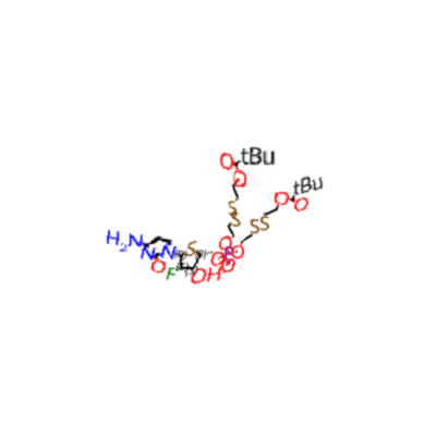 CC(C)(C)C(=O)OCCSSCCOP(=O)(OCCSSCCOC(=O)C(C)(C)C)OC[C@H]1S[C@@H](n2ccc(N)nc2=O)[C@@H](F)[C@@H]1O